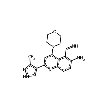 N=Cc1c(N)ccc2nc(-c3c[nH]nc3C(F)(F)F)cc(N3CCOCC3)c12